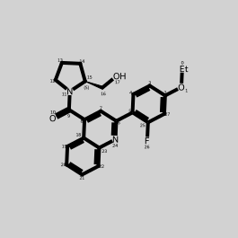 CCOc1ccc(-c2cc(C(=O)N3CCC[C@H]3CO)c3ccccc3n2)c(F)c1